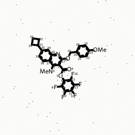 CNc1c(C(=O)Oc2c(F)c(F)c(F)c(F)c2F)c(OCc2ccc(OC)cc2)nc2cc(C3CCC3)ccc12